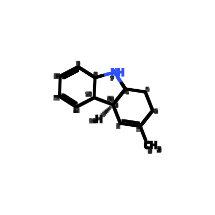 CC1=C[C@@H]2C(CC1)NC1C=CC=CC12